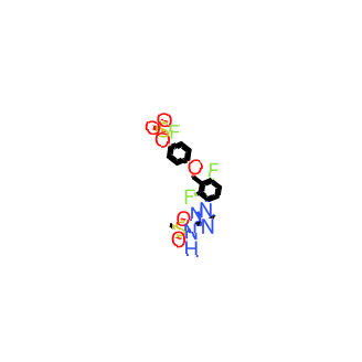 CS(=O)(=O)Nc1ncn(-c2ccc(F)c(COc3ccc(OS(=O)(=O)F)cc3)c2F)n1